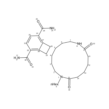 CCCCCCN1CCCCCCNC(=O)CCCCC1=O.NC(=O)c1ccc(C(N)=O)c2c1CC2